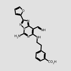 N=Cc1c(NCCc2cccc(C(=O)O)c2)nc(N)n2nc(-c3ccco3)nc12